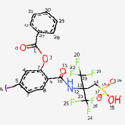 O=C(Oc1cc(I)ccc1C(=O)NC(CS(=O)(=O)O)(C(F)(F)F)C(F)(F)F)c1ccccc1